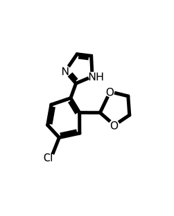 Clc1ccc(-c2ncc[nH]2)c(C2OCCO2)c1